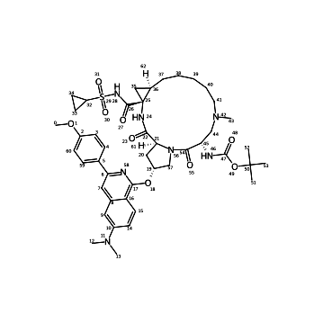 COc1ccc(-c2cc3cc(N(C)C)ccc3c(O[C@@H]3C[C@H]4C(=O)N[C@]5(C(=O)NS(=O)(=O)C6CC6)C[C@H]5CCCCCN(C)C[C@H](NC(=O)OC(C)(C)C)C(=O)N4C3)n2)cc1